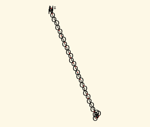 [N-]=[N+]=NCCOCCOCCOCCOCCOCCOCCOCCOCCOCCOCCOCCOCCOCCOCCOCCOCCOCCOCCOCCOCCOCCOCCOCCOCCC(=O)ON1C(=O)CCC1=O